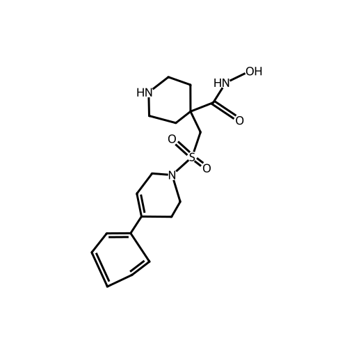 O=C(NO)C1(CS(=O)(=O)N2CC=C(c3ccccc3)CC2)CCNCC1